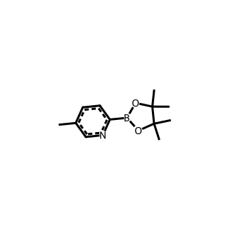 Cc1ccc(B2OC(C)(C)C(C)(C)O2)nc1